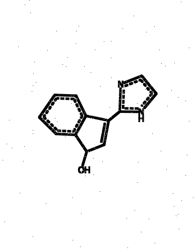 OC1C=C(c2ncc[nH]2)c2ccccc21